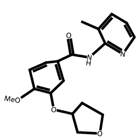 COc1ccc(C(=O)Nc2ncccc2C)cc1OC1CCOC1